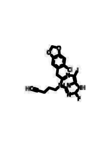 C#CCCCN1/C=N/C(F)N/C(N)=C(I)/N=C\1Cc1cc2c(cc1Cl)OCO2